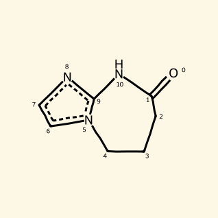 O=C1CCCn2ccnc2N1